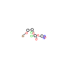 O=Cc1cc(Cl)c(OCc2cccc(-c3cccc(OCCCBr)c3)c2Cl)cc1OCc1ccc2nonc2c1